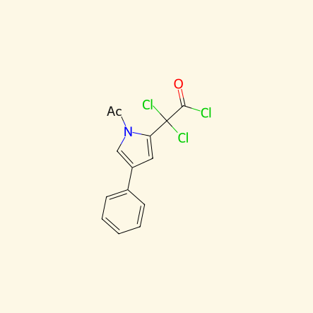 CC(=O)n1cc(-c2ccccc2)cc1C(Cl)(Cl)C(=O)Cl